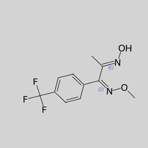 CO/N=C(\C(C)=N\O)c1ccc(C(F)(F)F)cc1